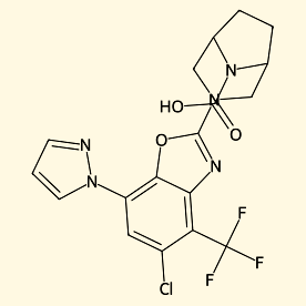 O=C(O)N1C2CCC1CN(c1nc3c(C(F)(F)F)c(Cl)cc(-n4cccn4)c3o1)C2